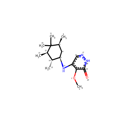 COc1c(N[C@@H]2C[C@H](C)C(C)(C)[C@H](C)[C@H]2C)cn[nH]c1=O